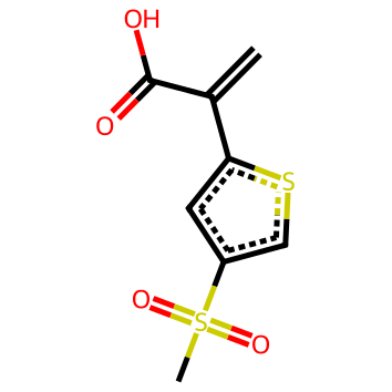 C=C(C(=O)O)c1cc(S(C)(=O)=O)cs1